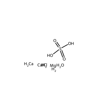 Cl.O.O=S(=O)(O)O.[CaH2].[CaH2].[MgH2]